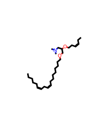 CC/C=C\CCOC(COCCCCCCCC/C=C\C/C=C\CCCCC)CN(C)C